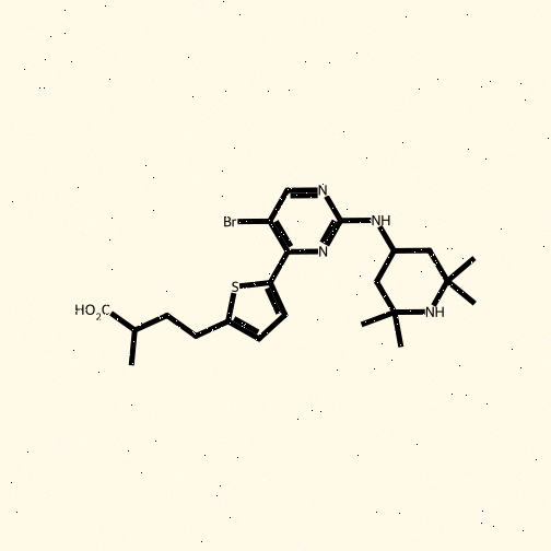 CC(CCc1ccc(-c2nc(NC3CC(C)(C)NC(C)(C)C3)ncc2Br)s1)C(=O)O